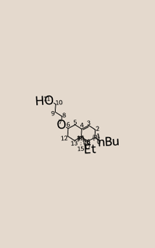 CCCC[C@@H]1CC=C2CC(OCCCO)CC[C@]2(C)[C@H]1CC